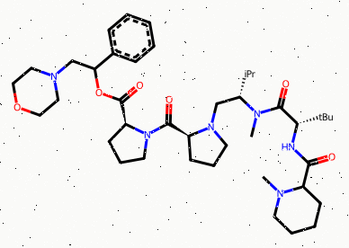 CC(C)[C@@H](CN1CCC[C@H]1C(=O)N1CCC[C@H]1C(=O)OC(CN1CCOCC1)c1ccccc1)N(C)C(=O)[C@@H](NC(=O)C1CCCCN1C)C(C)(C)C